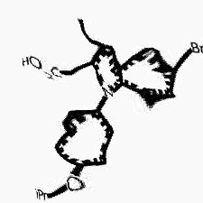 Cc1c(C(=O)O)n(-c2ccc(OC(C)C)cc2)c2ccc(Br)cc12